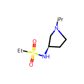 CCS(=O)(=O)N[C@@H]1CCN(C(C)C)C1